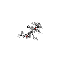 CCCCCC[C@@H](NC(=O)[C@H](CSc1ccccc1)NC(=O)c1csc([C@@H](C[C@H](C(C)C)N(C)C(=O)C[C@@H](C)CC)OC(C)=O)n1)C(=O)N[C@@H](Cc1ccccc1)C(=O)N1CCN(C(=O)CCC(C)(C)S)CC1